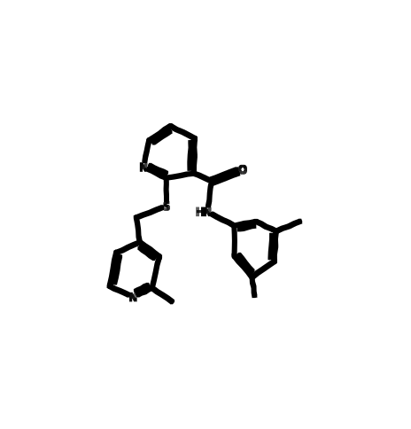 Cc1cc(C)cc(NC(=O)c2cccnc2SCc2ccnc(C)c2)c1